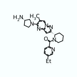 CCc1ccc(C(=O)N2CCCC[C@H]2c2cc3nc(N4CC[C@H](N)C4)c(C)cn3n2)nc1